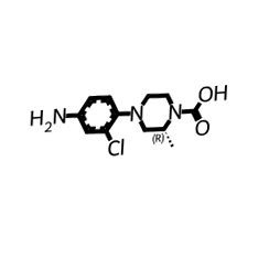 C[C@@H]1CN(c2ccc(N)cc2Cl)CCN1C(=O)O